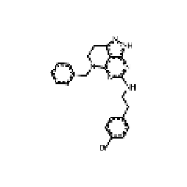 Brc1ccc(CCNc2nc3c4c(n[nH]c4n2)CCN3Cc2ccccc2)cc1